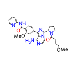 COCC=CC(=O)N1CCCC1c1nc(-c2ccc(C(=O)Nc3ccccn3)c(OC)c2)c2c(N)nccn12